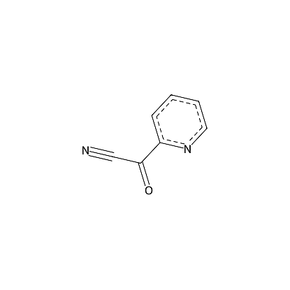 N#CC(=O)c1ccccn1